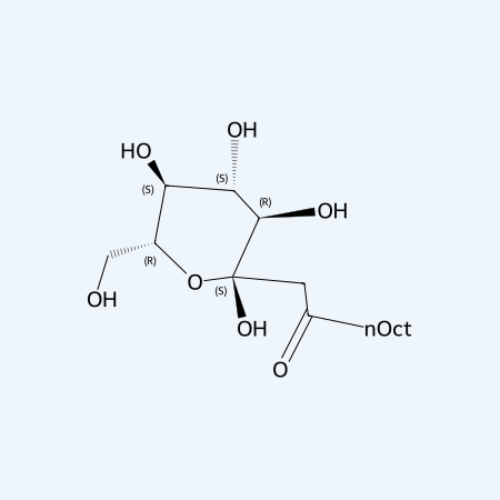 CCCCCCCCC(=O)C[C@]1(O)O[C@H](CO)[C@@H](O)[C@H](O)[C@H]1O